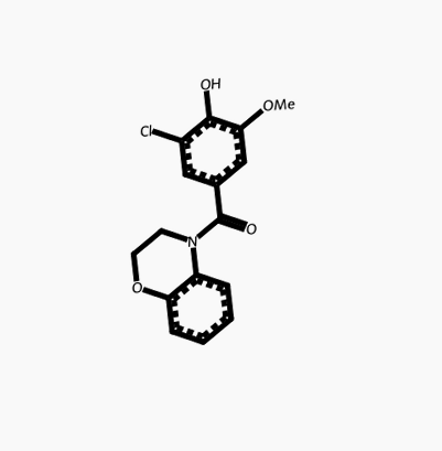 COc1cc(C(=O)N2CCOc3ccccc32)cc(Cl)c1O